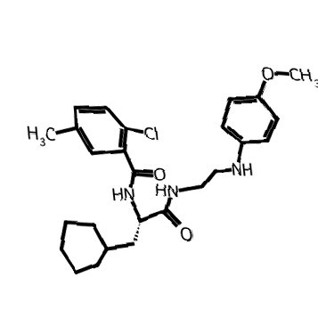 COc1ccc(NCCNC(=O)[C@H](CC2CCCCC2)NC(=O)c2cc(C)ccc2Cl)cc1